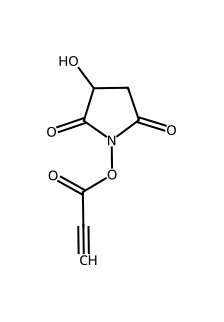 C#CC(=O)ON1C(=O)CC(O)C1=O